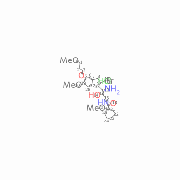 COCCCOc1cc(CC(CC(N)C(O)CNC(=O)C2(OC)CCCCC2)C(C)C)ccc1OC.Cl